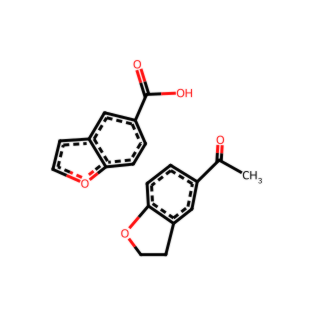 CC(=O)c1ccc2c(c1)CCO2.O=C(O)c1ccc2occc2c1